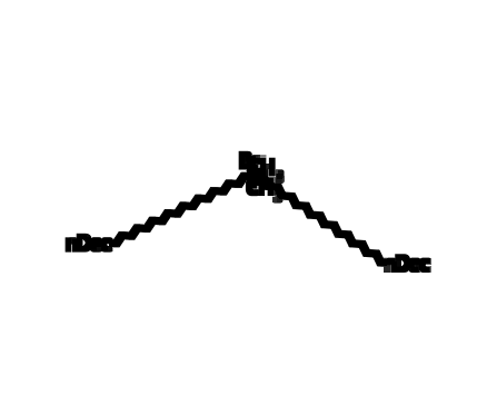 CCCCCCCCCCCCCCCCCCCCCCCCCCCC[N+](C)(C)CCCCCCCCCCCCCCCCCCCCCCCCCCCC.[Br-]